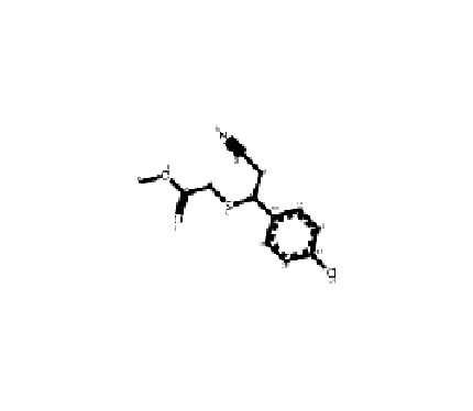 COC(=O)CSC(CC#N)c1ccc(Cl)cc1